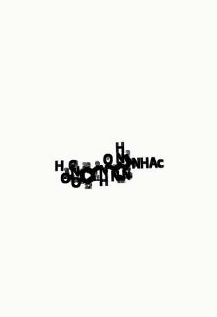 CC(=O)Nc1c[nH]c2c(C(=O)NCc3ccc4oc(=O)n(C)c4c3)ncnc12